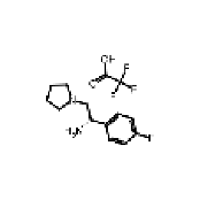 N[C@H](CN1CCCC1)c1ccc(F)cc1.O=C(O)C(F)(F)F